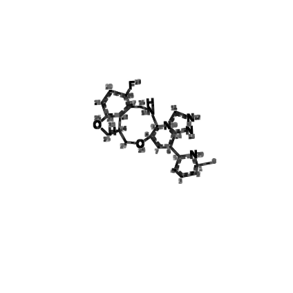 Cc1cccc(-c2cc3c(n4cnnc24)NCc2c(F)ccc4c2[C@H](CO4)CO3)n1